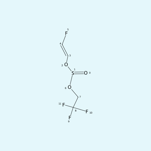 O=S(OC=CF)OCC(F)(F)F